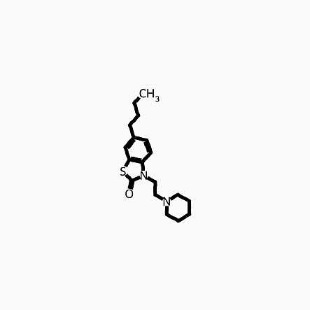 CCCCc1ccc2c(c1)sc(=O)n2CCN1CCCCC1